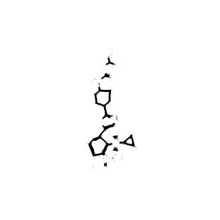 CC(C)OC(=O)NC1CCC(c2ncc(-c3cccc(B(O)O)c3S(=O)(=O)C3CC3)s2)CC1